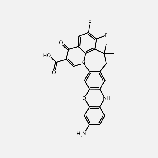 CC1(C)Cc2cc3c(cc2-n2cc(C(=O)O)c(=O)c4cc(F)c(F)c1c42)Oc1cc(N)ccc1N3